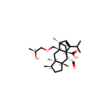 CC(C)C1=C[C@H]2C[C@@]3(C=O)[C@@H]4CC[C@@H](C)[C@H]4C[C@@]2(COC[C@H](C)O)[C@]13C(=O)O